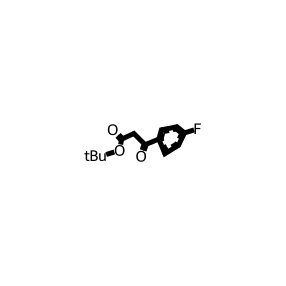 CC(C)(C)OC(=O)CC(=O)c1ccc(F)cc1